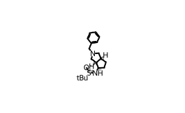 CC(C)(C)[S@+]([O-])N[C@@H]1CC[C@@H]2CN(Cc3ccccc3)C[C@@H]21